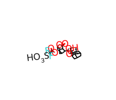 CCC1(OC(O)C2C3CC4C(OC(=O)C42)C3OC(=O)C(F)(F)S(=O)(=O)O)C2CC3CC(C2)CC1C3